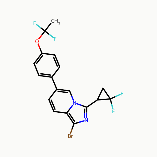 CC(F)(F)Oc1ccc(-c2ccc3c(Br)nc(C4CC4(F)F)n3c2)cc1